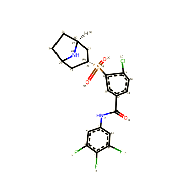 O=C(Nc1cc(F)c(F)c(F)c1)c1ccc(Cl)c(S(=O)(=O)[C@@H]2CC3CC[C@@H](C2)N3)c1